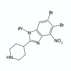 CC(C)n1c(C2CCNCC2)nc2c([N+](=O)[O-])c(Br)c(Br)cc21